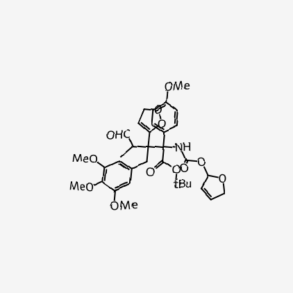 COc1ccc(C(NC(=O)OC2C=CCO2)(C(=O)OC(C)(C)C)C(Cc2cc(OC)c(OC)c(OC)c2)(C2=CCOO2)C(C)C=O)cc1